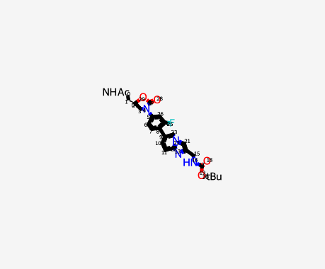 CC(=O)NC[C@H]1CN(c2ccc(-c3ccc4nc(CNC(=O)OC(C)(C)C)cn4c3)c(F)c2)C(=O)O1